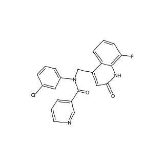 O=C(c1cccnc1)N(Cc1cc(=O)[nH]c2c(F)cccc12)c1cccc(Cl)c1